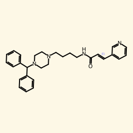 O=C(/C=C/c1cccnc1)NCCCCN1CCN(C(c2ccccc2)c2ccccc2)CC1